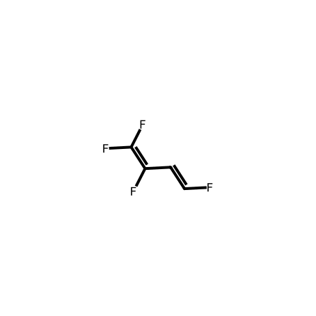 F/C=C/C(F)=C(F)F